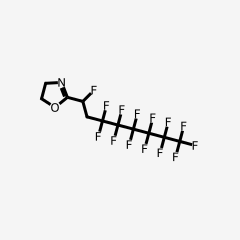 FC(CC(F)(F)C(F)(F)C(F)(F)C(F)(F)C(F)(F)C(F)(F)F)C1=NCCO1